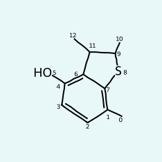 Cc1ccc(O)c2c1SC(C)C2C